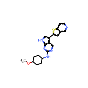 COC1CCC(Nc2ncc3c(-c4cc5cnccc5s4)c[nH]c3n2)CC1